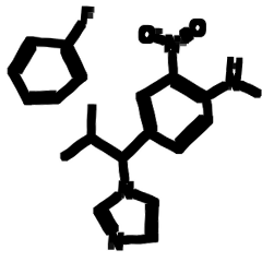 CNc1ccc(C(C(C)C)n2ccnc2)cc1[N+](=O)[O-].Fc1ccccc1